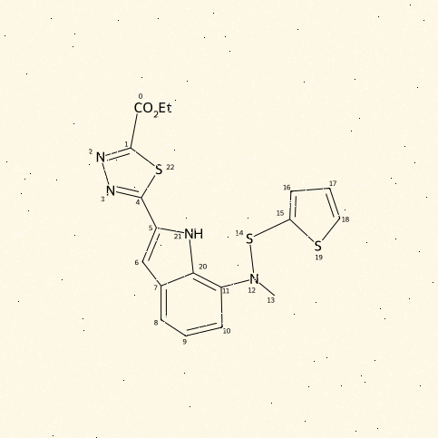 CCOC(=O)c1nnc(-c2cc3cccc(N(C)Sc4cccs4)c3[nH]2)s1